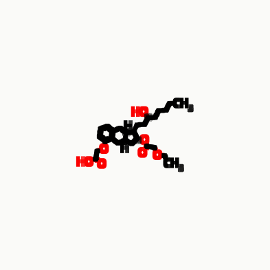 CCCCC[C@H](O)CC[C@@H]1[C@H]2Cc3cccc(OCC(=O)O)c3C[C@H]2C[C@H]1OC(=O)COCC